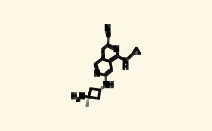 C[C@]1(N)C[C@H](Nc2cc3c(NC4CC4)nc(C#N)cc3cn2)C1